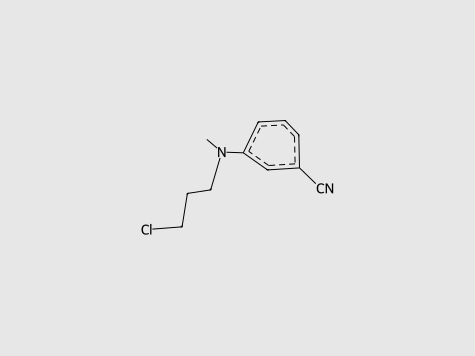 CN(CCCCl)c1cccc(C#N)c1